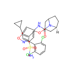 NS(=O)(=O)c1cccc(NC(=O)N2C3CC[C@H]2CC(OCc2c(-c4c(Cl)cccc4Cl)noc2C2CC2)C3)c1